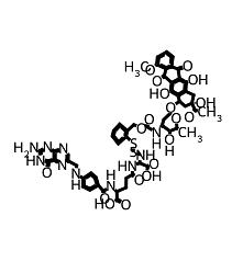 COc1cccc2c1C(=O)c1c(O)c3c(c(O)c1C2=O)C[C@@](O)(C(C)=O)CC3OC1CC(NC(=O)OCc2ccccc2SSNC(NC(=O)CCC(NC(=O)c2ccc(NCc3cnc4nc(N)[nH]c(=O)c4n3)cc2)C(=O)O)C(=O)O)C(O)C(C)O1